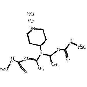 CCCCNC(=O)OC(C)N(C1CCNCC1)C(C)OC(=O)NCCCC.Cl.Cl